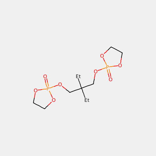 CCC(CC)(COP1(=O)OCCO1)COP1(=O)OCCO1